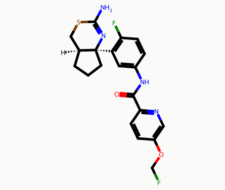 NC1=N[C@@]2(c3cc(NC(=O)c4ccc(OCF)cn4)ccc3F)CCC[C@H]2CS1